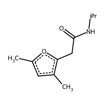 Cc1cc(C)c(CC(=O)NC(C)C)o1